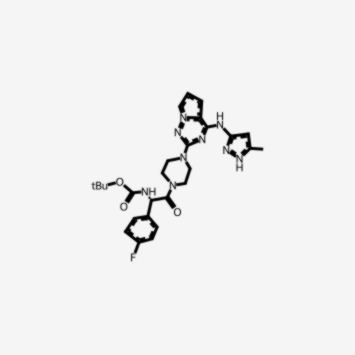 Cc1cc(Nc2nc(N3CCN(C(=O)[C@@H](NC(=O)OC(C)(C)C)c4ccc(F)cc4)CC3)nn3cccc23)n[nH]1